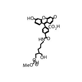 CO[PH](=O)OCCC(CO)CCCCNC(=O)c1ccc(-c2c3ccc(=O)cc-3oc3cc(O)ccc23)c(C(=O)O)c1